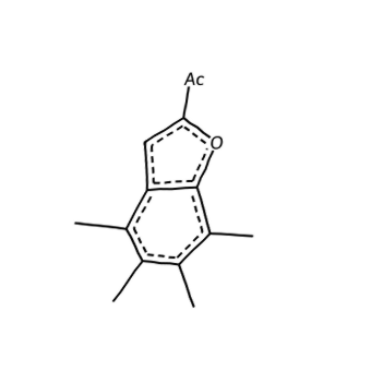 CC(=O)c1cc2c(C)c(C)c(C)c(C)c2o1